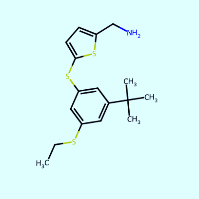 CCSc1cc(Sc2ccc(CN)s2)cc(C(C)(C)C)c1